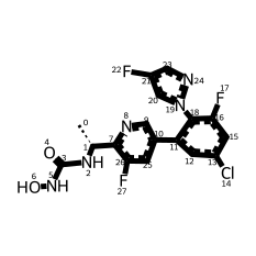 C[C@@H](NC(=O)NO)c1ncc(-c2cc(Cl)cc(F)c2-n2cc(F)cn2)cc1F